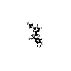 CC(C)[C@@H](NC(=O)c1cc(=O)[nH]c(N2CC(F)C2)n1)c1ccc(OC(F)(F)F)c(F)c1